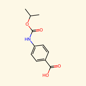 CC(C)OC(=O)Nc1ccc(C(=O)O)cc1